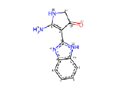 NC1=C(c2nc3ccccc3[nH]2)C(=O)CN1